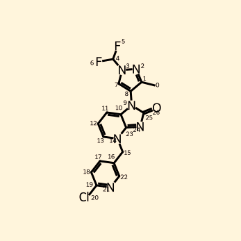 Cc1nn(C(F)F)cc1-n1c2cccn(Cc3ccc(Cl)nc3)c-2nc1=O